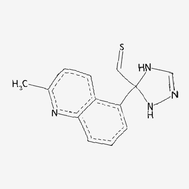 Cc1ccc2c(C3(C=S)NC=NN3)cccc2n1